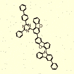 c1ccc(-c2ccc(-c3nc(-c4ccccc4)nc(-c4cc(-c5ccc6oc7c(-n8c9ccccc9c9cc(-c%10ccccc%10)ccc98)cccc7c6c5)cc5oc6ccccc6c45)n3)cc2)cc1